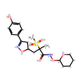 CC(CC1CC(c2ccc(O)cc2)=NO1)(C(=O)NOC1CCCCO1)S(C)(=O)=O